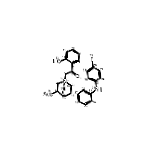 CC(=O)OC1C[N+]2(CC(=O)c3ccccc3O)CCC1CC2.Fc1ccc(Nc2ccccc2)cc1